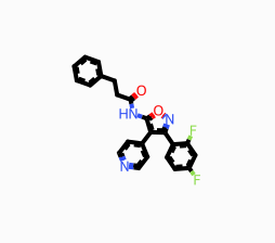 O=C(CCc1ccccc1)Nc1onc(-c2ccc(F)cc2F)c1-c1ccncc1